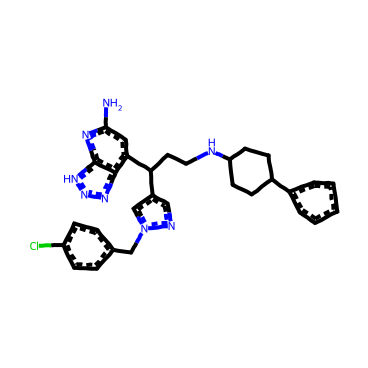 Nc1cc(C(CCNC2CCC(c3ccccc3)CC2)c2cnn(Cc3ccc(Cl)cc3)c2)c2nn[nH]c2n1